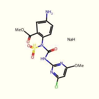 COC(=O)c1cc(N)ccc1N(C(=O)Nc1nc(Cl)cc(OC)n1)[SH](=O)=O.[NaH]